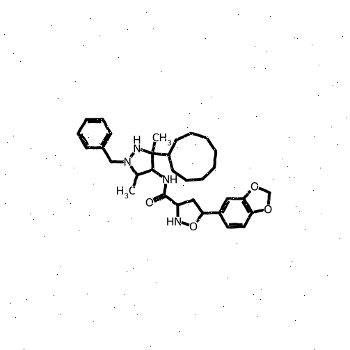 CC1C(NC(=O)C2CC(c3ccc4c(c3)OCO4)ON2)C(C)(C2CCCCCCCC2)NN1Cc1ccccc1